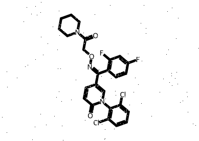 O=C(CON=C(c1ccc(=O)n(-c2c(Cl)cccc2Cl)c1)c1ccc(F)cc1F)N1CCCCC1